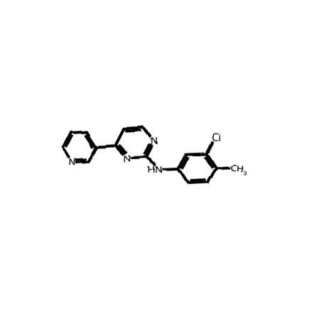 Cc1ccc(Nc2nccc(-c3cccnc3)n2)cc1Cl